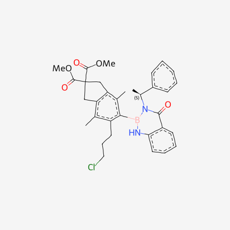 COC(=O)C1(C(=O)OC)Cc2c(C)c(CCCCl)c(B3Nc4ccccc4C(=O)N3[C@@H](C)c3ccccc3)c(C)c2C1